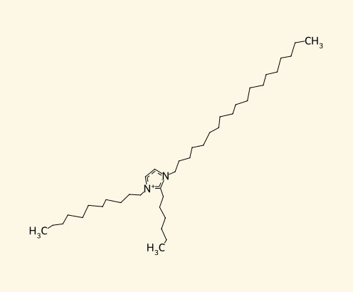 CCCCCCCCCCCCCCCCCCCn1cc[n+](CCCCCCCCCCC)c1CCCCCC